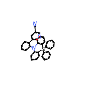 N#Cc1cncc(-c2ccccc2N2c3ccccc3[Si](c3ccccc3)(c3ccccc3)c3ccccc32)c1